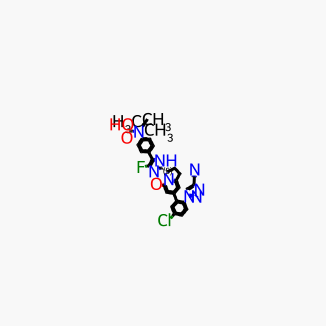 CC(C)(C)N(C(=O)O)c1ccc(-c2[nH]c([C@@H]3CCc4cc(-c5cc(Cl)ccc5-n5cc(C#N)nn5)cc(=O)n43)nc2F)cc1